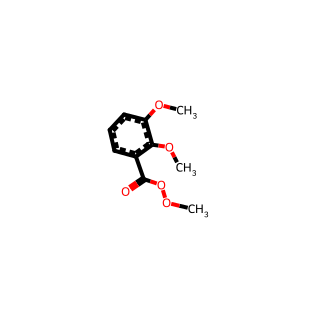 COOC(=O)c1cccc(OC)c1OC